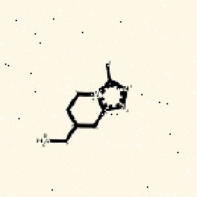 Cc1nnc2n1CCC(CN)C2